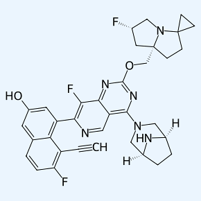 C#Cc1c(F)ccc2cc(O)cc(-c3ncc4c(N5C[C@H]6CC[C@@H](C5)N6)nc(OC[C@@]56CCC7(CC7)N5C[C@@H](F)C6)nc4c3F)c12